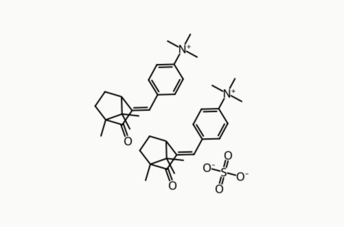 CC12CCC(C(=Cc3ccc([N+](C)(C)C)cc3)C1=O)C2(C)C.CC12CCC(C(=Cc3ccc([N+](C)(C)C)cc3)C1=O)C2(C)C.O=S(=O)([O-])[O-]